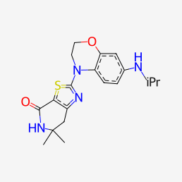 CC(C)Nc1ccc2c(c1)OCCN2c1nc2c(s1)C(=O)NC(C)(C)C2